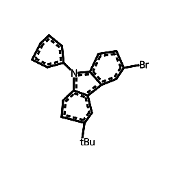 CC(C)(C)c1ccc2c(c1)c1cc(Br)ccc1n2-c1ccccc1